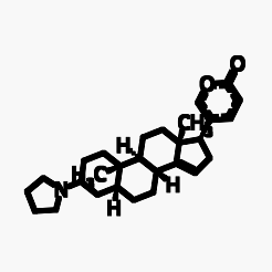 C[C@]12CCC(N3CCCC3)C[C@H]1CC[C@H]1C3=CC[C@H](c4ccc(=O)oc4)[C@@]3(C)CC[C@@H]12